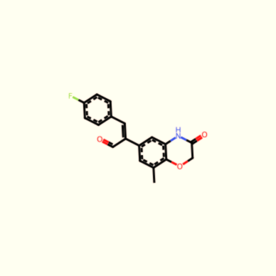 Cc1cc(C(C=O)=Cc2ccc(F)cc2)cc2c1OCC(=O)N2